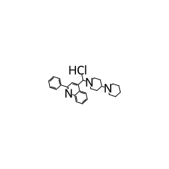 CC(c1cc(-c2ccccc2)nc2ccccc12)N1CCC(N2CCCCC2)CC1.Cl